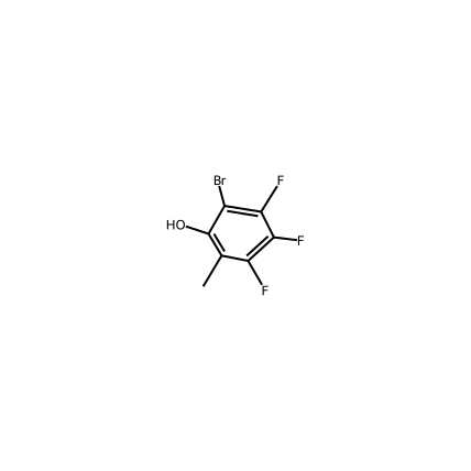 Cc1c(O)c(Br)c(F)c(F)c1F